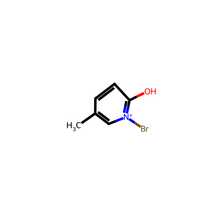 Cc1ccc(O)[n+](Br)c1